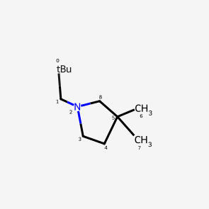 CC(C)(C)CN1CCC(C)(C)C1